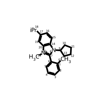 Cc1ccccc1-c1n(C2CCCC2)c2ccc(C(C)C)cc2[n+]1C